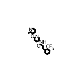 Cc1ncccc1Oc1ccc(NC(=O)/C=C/c2ccccc2C(F)(F)F)cn1